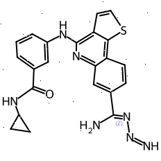 N=N/N=C(\N)c1ccc2c(c1)nc(Nc1cccc(C(=O)NC3CC3)c1)c1ccsc12